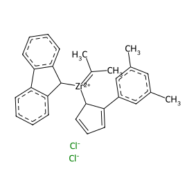 C[C](C)=[Zr+2]([CH]1C=CC=C1c1cc(C)cc(C)c1)[CH]1c2ccccc2-c2ccccc21.[Cl-].[Cl-]